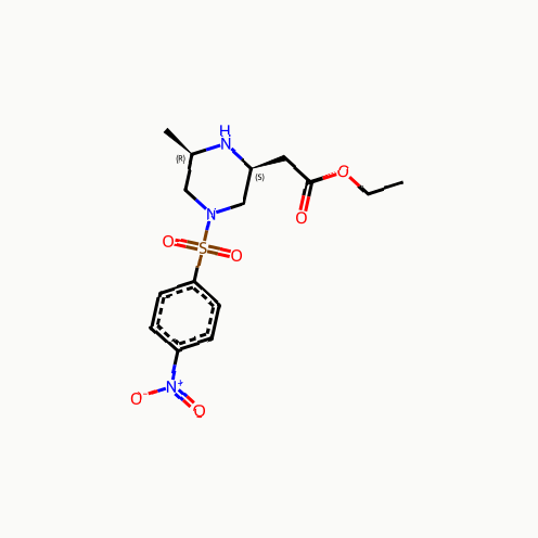 CCOC(=O)C[C@H]1CN(S(=O)(=O)c2ccc([N+](=O)[O-])cc2)C[C@@H](C)N1